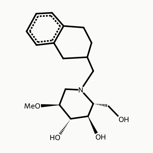 CO[C@H]1CN(CC2CCc3ccccc3C2)[C@H](CO)[C@@H](O)[C@@H]1O